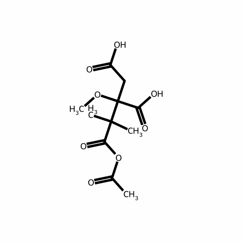 COC(CC(=O)O)(C(=O)O)C(C)(C)C(=O)OC(C)=O